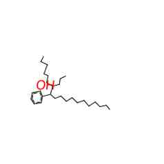 CCCCCCCCCCCC(c1ccccc1O)C(CCC)CCCCCC